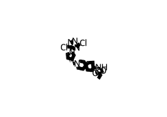 CCS(=O)(=O)NC1CCC2(CC1)CCN(C[C@@H]1CCN(c3nc(Cl)nnc3Cl)C1)CC2